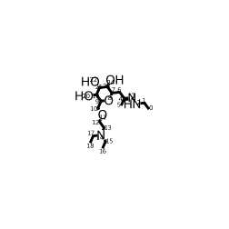 CCN/N=C(\C)CC1OC(COCCN(CC)CC)C(O)C(O)C1O